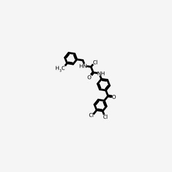 Cc1cccc(CNC(Cl)C(=O)Nc2ccc(C(=O)c3ccc(Cl)c(Cl)c3)cc2)c1